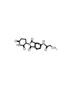 CCC(=O)Nc1ccc2c(c1)C(=O)N(C1CCC(=O)NC1=O)C2=O